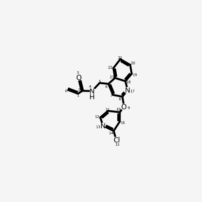 C=CC(=O)NCc1cc(Oc2ccnc(Cl)c2)nc2ccccc12